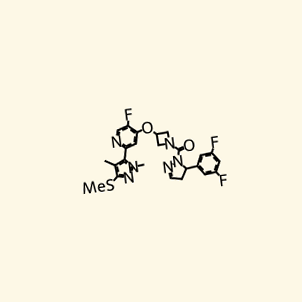 CSc1nn(C)c(-c2cc(OC3CN(C(=O)N4N=CCC4c4cc(F)cc(F)c4)C3)c(F)cn2)c1C